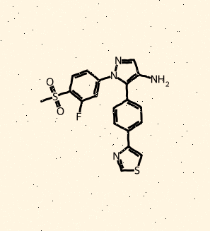 CS(=O)(=O)c1ccc(-n2ncc(N)c2-c2ccc(-c3cscn3)cc2)cc1F